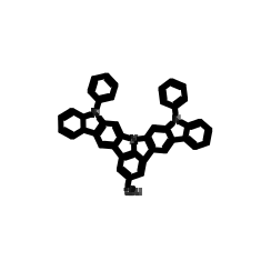 CC(C)(C)c1cc2c3cc4c(cc3n3c5cc6c(cc5c(c1)c23)c1ccccc1n6-c1ccccc1)N(c1ccccc1)C1C=CC=CC41